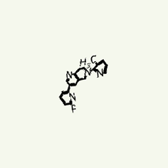 Cc1cccnc1N1CCc2ncc(-c3cccc(F)n3)cc2C1